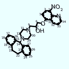 O=[N+]([O-])c1ccc(OCC(O)CN2CCN(C3c4ccccc4CCc4ccccc43)CC2)c2cccnc12